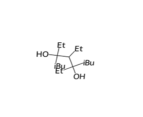 CCC(C)C(O)(CC)C(CC)C(O)(CC)C(C)CC